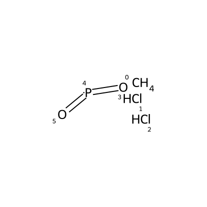 C.Cl.Cl.O=[P]=O